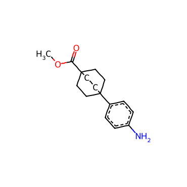 COC(=O)C12CCC(c3ccc(N)cc3)(CC1)CC2